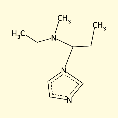 CCC(N(C)CC)n1ccnc1